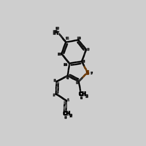 C=C/C=C\c1c(C)sc2ccc(C(C)C)cc12